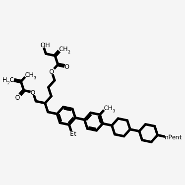 C=C(C)C(=O)OCC(CCCOC(=O)C(=C)CO)Cc1ccc(-c2ccc(C3CCC(C4CCC(CCCCC)CC4)CC3)c(C)c2)c(CC)c1